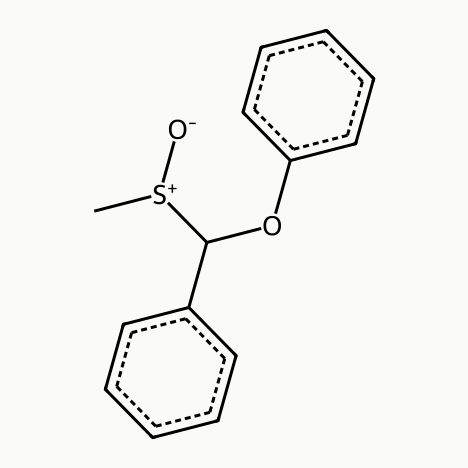 C[S+]([O-])C(Oc1ccccc1)c1ccccc1